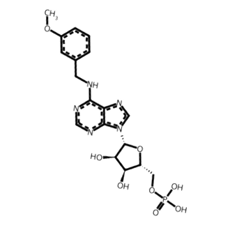 COc1cccc(CNc2ncnc3c2ncn3[C@@H]2O[C@H](COP(=O)(O)O)[C@@H](O)[C@H]2O)c1